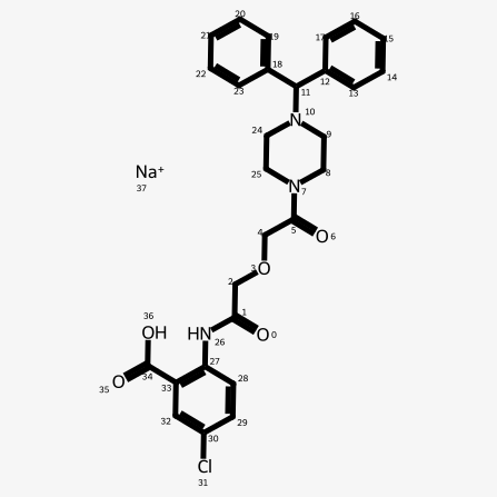 O=C(COCC(=O)N1CCN(C(c2ccccc2)c2ccccc2)CC1)Nc1ccc(Cl)cc1C(=O)O.[Na+]